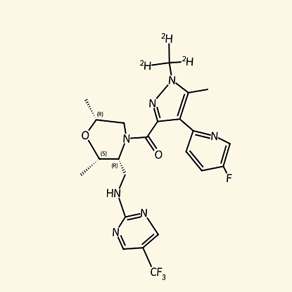 [2H]C([2H])([2H])n1nc(C(=O)N2C[C@@H](C)O[C@@H](C)[C@H]2CNc2ncc(C(F)(F)F)cn2)c(-c2ccc(F)cn2)c1C